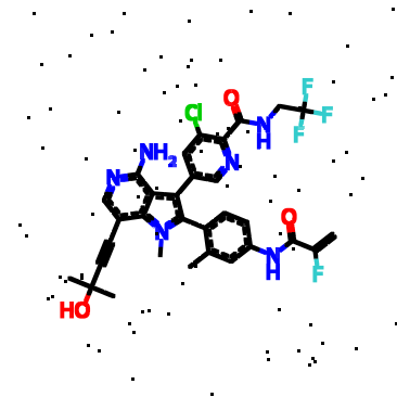 C=C(F)C(=O)Nc1ccc(-c2c(-c3cnc(C(=O)NCC(F)(F)F)c(Cl)c3)c3c(N)ncc(C#CC(C)(C)O)c3n2C)c(C)c1